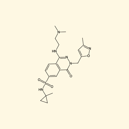 Cc1cc(Cn2nc(NCCN(C)C)c3ccc(S(=O)(=O)NC4(C)CC4)cc3c2=O)on1